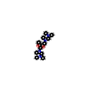 c1ccc(-n2c3ccccc3c3ccc4c(c5ccccc5n4-c4cc5c6c(c4)Oc4ccc(-n7c8ccccc8c8c7ccc7c9ccccc9n(-c9ccccc9)c78)cc4B6c4ccccc4O5)c32)cc1